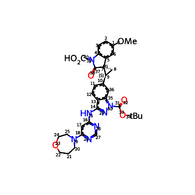 COc1ccc2c(c1)[C@]1(C[C@H]1c1ccc3c(Nc4cc(N5CCCOCC5)ncn4)nn(C(=O)OC(C)(C)C)c3c1)C(=O)N2C(=O)O